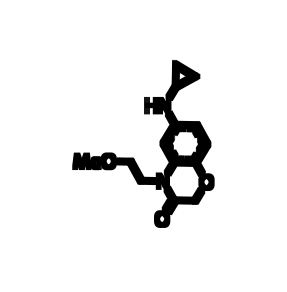 COCCN1C(=O)COc2ccc(NC3CC3)cc21